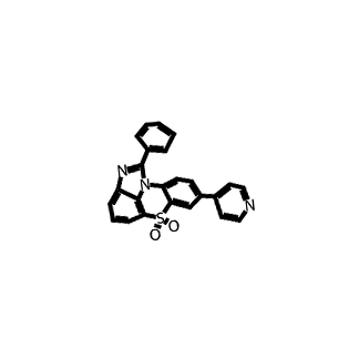 O=S1(=O)c2cc(-c3ccncc3)ccc2-n2c(-c3ccccc3)nc3cccc1c32